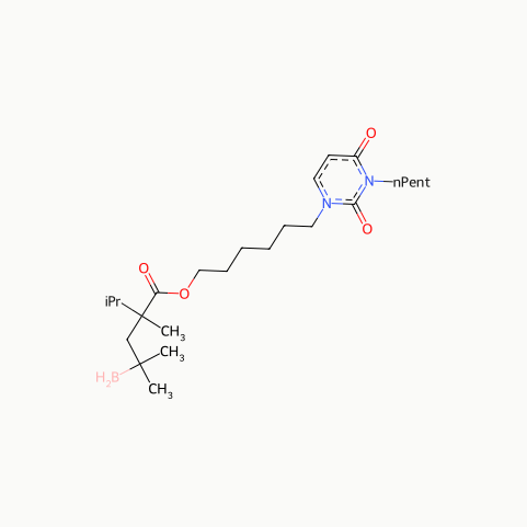 BC(C)(C)CC(C)(C(=O)OCCCCCCn1ccc(=O)n(CCCCC)c1=O)C(C)C